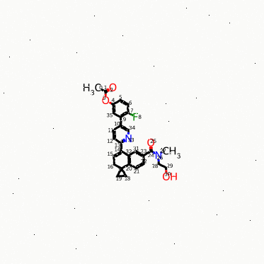 CC(=O)Oc1ccc(F)c(-c2ccc(C3=CCC4(CC4)c4ccc(C(=O)N(C)CCO)cc43)nc2)c1